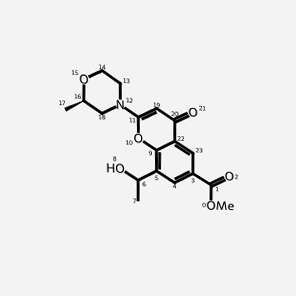 COC(=O)c1cc(C(C)O)c2oc(N3CCO[C@H](C)C3)cc(=O)c2c1